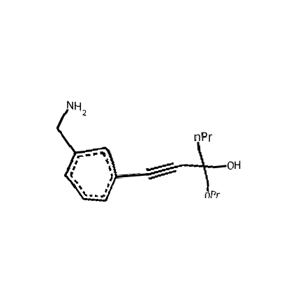 CCCC(O)(C#Cc1cccc(CN)c1)CCC